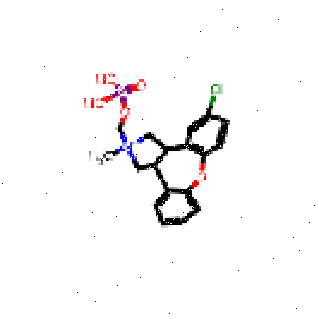 C[N+]1(COP(=O)(O)O)CC2c3ccccc3Oc3ccc(Cl)cc3C2C1